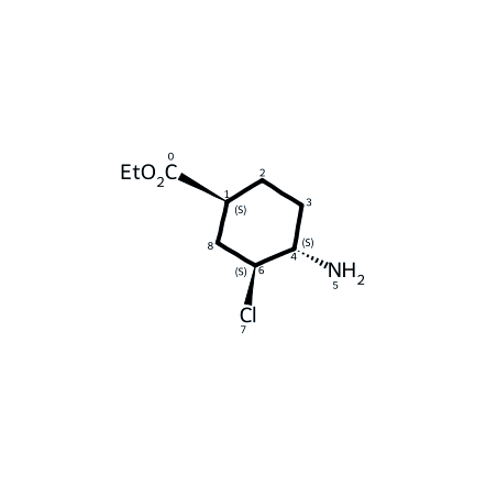 CCOC(=O)[C@H]1CC[C@H](N)[C@@H](Cl)C1